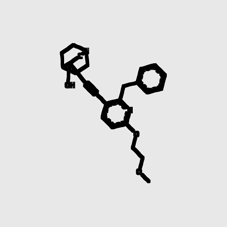 COCCOc1ccc(C#CC2(O)CN3CCC2CC3)c(Cc2ccccc2)n1